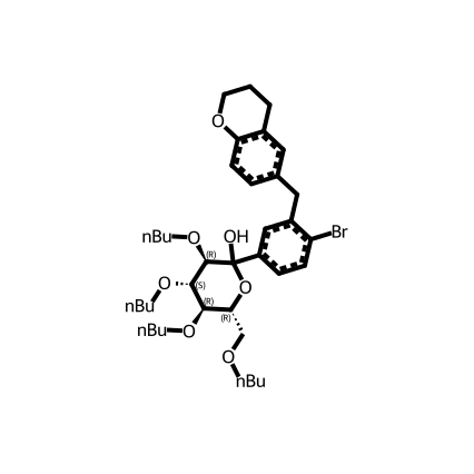 CCCCOC[C@H]1OC(O)(c2ccc(Br)c(Cc3ccc4c(c3)CCCO4)c2)[C@H](OCCCC)[C@@H](OCCCC)[C@@H]1OCCCC